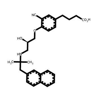 CC(C)(Cc1ccc2ccccc2c1)NC[C@@H](O)COc1ccc(CCCC(=O)O)cc1C#N